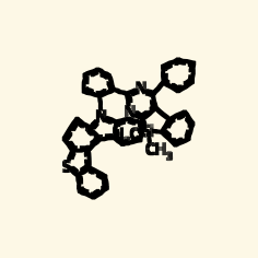 C[Si]1(C)c2ccccc2-c2c(-c3ccccc3)nc(-c3ccccc3-n3c4ccccc4c4c5c(ccc43)sc3ccccc35)nc21